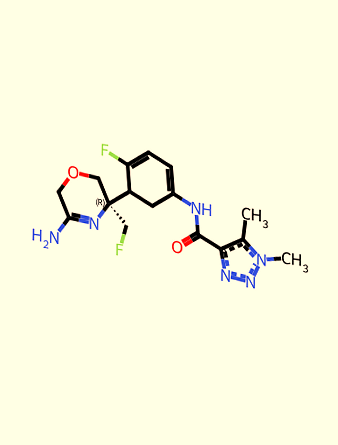 Cc1c(C(=O)NC2=CC=C(F)C([C@]3(CF)COCC(N)=N3)C2)nnn1C